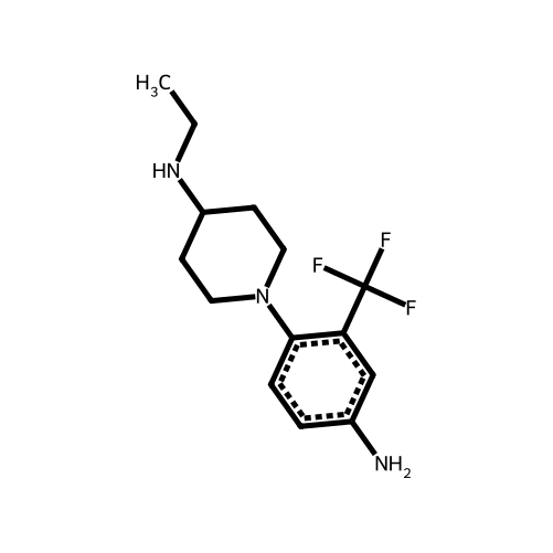 CCNC1CCN(c2ccc(N)cc2C(F)(F)F)CC1